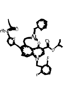 CC(=O)Nc1ccc(-c2ccc3c(c2CN(C)Cc2ccccc2)c(=O)c(C(=O)OC(C)C)cn3Cc2c(F)cccc2F)s1